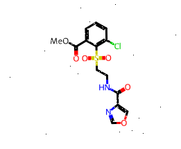 COC(=O)c1cccc(Cl)c1S(=O)(=O)CCNC(=O)c1cocn1